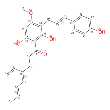 C=C/C(=C\C=C\C)CCC(=O)c1c(O)cc(OC)c(C/C=C/c2ccc(O)cc2)c1O